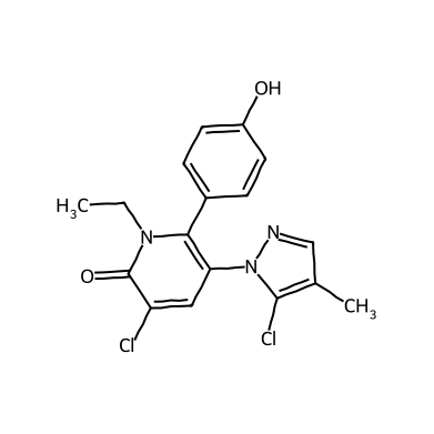 CCn1c(-c2ccc(O)cc2)c(-n2ncc(C)c2Cl)cc(Cl)c1=O